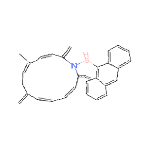 C=C1/C=C\C=C/C(=C)N(Bc2c3ccccc3cc3ccccc23)C(=C)/C=C\C(C)=C/C1